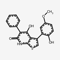 COc1ccc(O)c(-c2csc3[nH]c(=O)c(-c4ccccc4)c(O)c23)c1